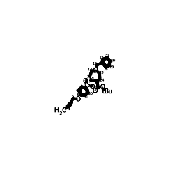 CC#CCOc1ccc(S(=O)(=O)N2CCN(Cc3ccccc3)CCC2C(=O)OC(C)(C)C)cc1